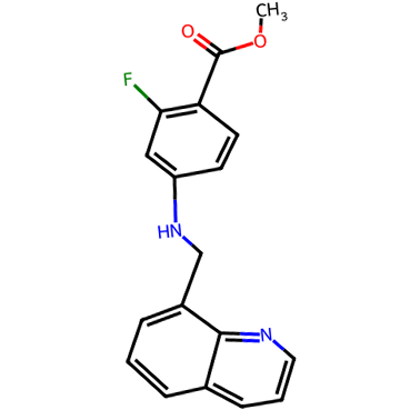 COC(=O)c1ccc(NCc2cccc3cccnc23)cc1F